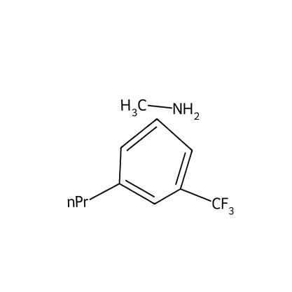 CCCc1cccc(C(F)(F)F)c1.CN